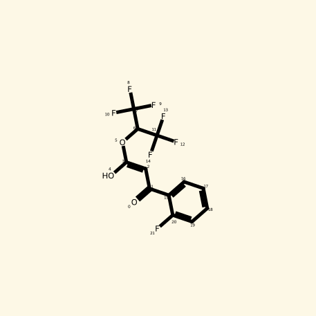 O=C(/C=C(\O)OC(C(F)(F)F)C(F)(F)F)c1ccccc1F